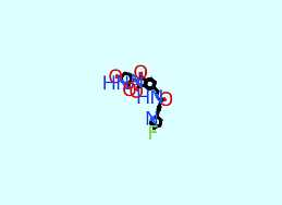 O=C(C#CC1=NC=C(F)CC1)NCc1ccc2c(c1)C(=O)N(C1CCC(=O)NC1=O)C2=O